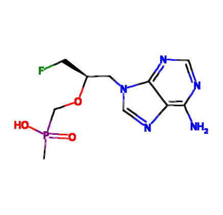 CP(=O)(O)CO[C@@H](CF)Cn1cnc2c(N)ncnc21